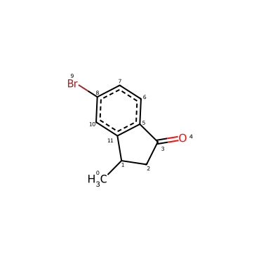 CC1CC(=O)c2ccc(Br)cc21